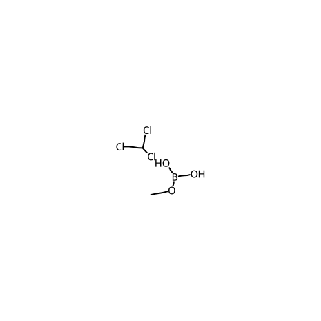 COB(O)O.ClC(Cl)Cl